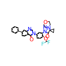 O=C(Nc1cc(-n2cnc3cc(-c4ccccc4)ccc3c2=O)ccc1OC(F)F)C1(N2CCOCC2)CC1